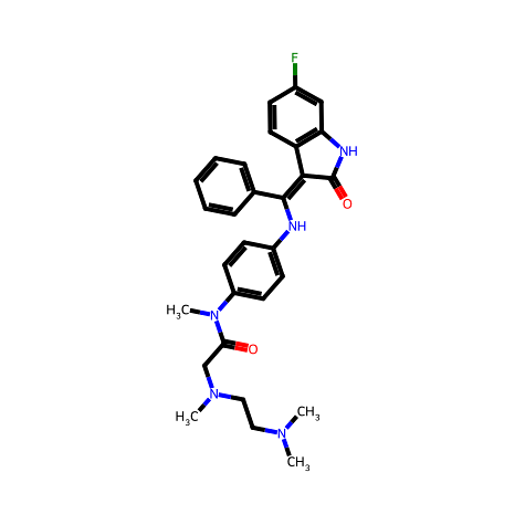 CN(C)CCN(C)CC(=O)N(C)c1ccc(N/C(=C2\C(=O)Nc3cc(F)ccc32)c2ccccc2)cc1